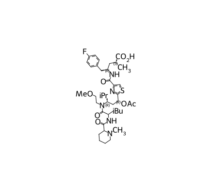 CCC(C)C(NC(=O)C1CCCCN1C)C(=O)N(CCOC)[C@H](C[C@@H](OC(C)=O)c1nc(C(=O)N[C@@H](Cc2ccc(F)cc2)C[C@H](C)C(=O)O)cs1)C(C)C